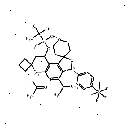 CC(=O)O[C@H]1c2nc(C(C)C)c3c(c2C(O[Si](C)(C)C(C)(C)C)CC12CCC2)C1(CCOCC1)O[C@@H]3c1ccc(S(F)(F)(F)(F)F)cc1